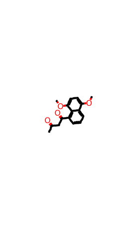 COc1ccc(OC)c2c(C(=O)CC(C)=O)cccc12